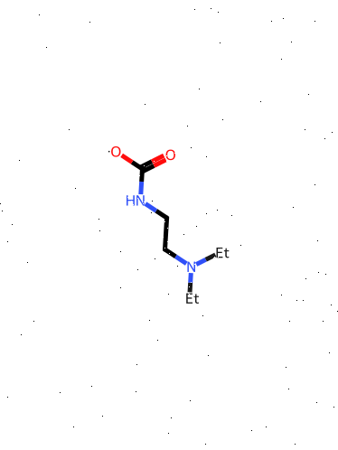 CCN(CC)CCNC([O])=O